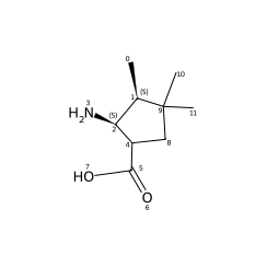 C[C@@H]1[C@H](N)C(C(=O)O)CC1(C)C